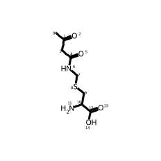 CC(=O)CC(=O)NCSCC(N)C(=O)O